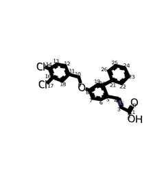 O=C(O)/C=C/c1ccc(OCc2ccc(Cl)c(Cl)c2)cc1-c1ccccc1